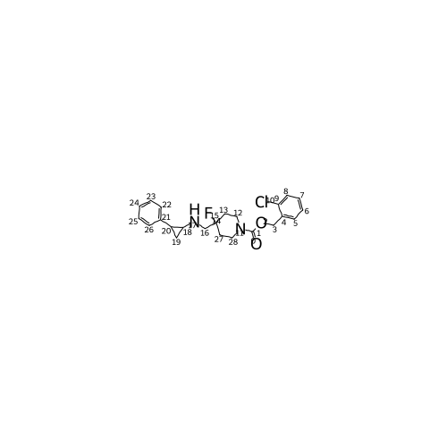 O=C(OCc1ccccc1Cl)N1CCC(F)(CNC2CC2c2ccccc2)CC1